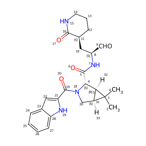 CC1(C)[C@@H]2[C@@H](C(=O)N[C@H](C=O)C[C@@H]3CCCNC3=O)N(C(=O)c3cc4ccccc4[nH]3)C[C@@H]21